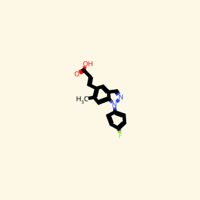 Cc1cc2c(cnn2-c2ccc(F)cc2)cc1C=CC(=O)O